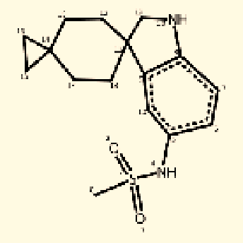 CS(=O)(=O)Nc1ccc2c(c1)C1(CCC3(CC3)CC1)CN2